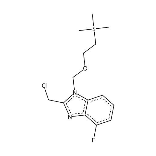 CS(C)(C)CCOCn1c(CCl)nc2c(F)cccc21